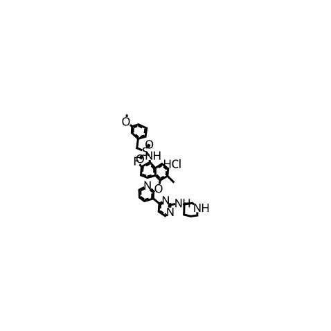 COc1cccc(CS(=O)(=O)Nc2c(F)ccc3c(Oc4ncccc4-c4ccnc(N[C@H]5CCCNC5)n4)c(C)ccc23)c1.Cl